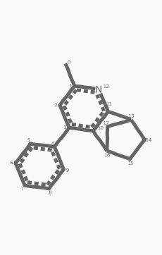 Cc1cc(-c2ccccc2)c2c(n1)C1CCC2C1